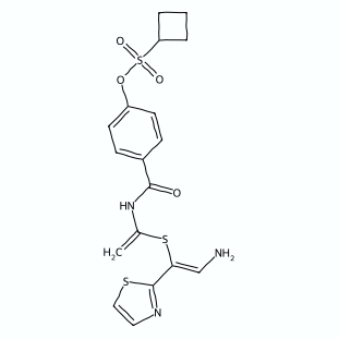 C=C(NC(=O)c1ccc(OS(=O)(=O)C2CCC2)cc1)S/C(=C\N)c1nccs1